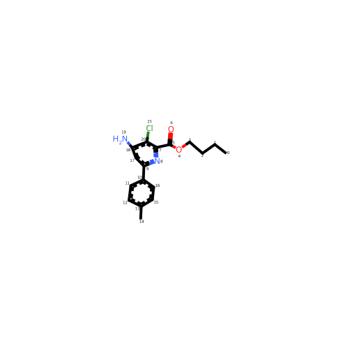 CCCCOC(=O)c1nc(-c2ccc(C)cc2)cc(N)c1Cl